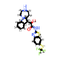 O=C(Nc1nc2ccc(SC(F)(F)F)cc2s1)C(=O)c1c2n(c3ccccc13)CCNCC2